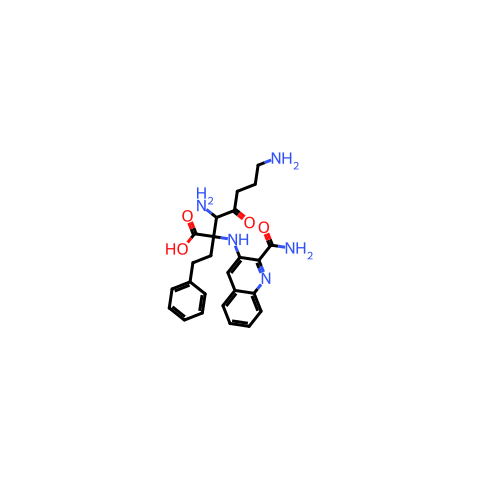 NCCCC(=O)C(N)C(CCc1ccccc1)(Nc1cc2ccccc2nc1C(N)=O)C(=O)O